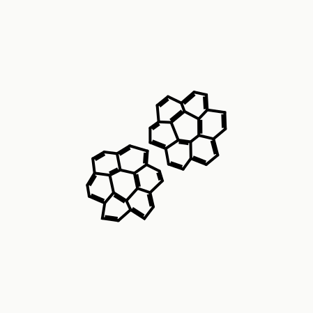 c1cc2ccc3ccc4ccc5ccc6ccc1c1c2c3c4c5c61.c1cc2ccc3ccc4ccc5ccc6ccc1c1c2c3c4c5c61